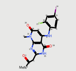 CNC(=O)Cc1nc2c(c(Nc3ccc(I)cc3F)cc(=O)n2C)c(=O)[nH]1